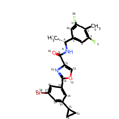 Cc1c(F)cc([C@@H](C)NC(=O)c2coc(-c3cc(Br)cc(C4CC4)c3)n2)cc1F